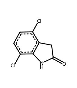 O=C1Cc2c(Cl)ccc(Cl)c2N1